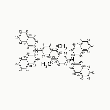 Cc1c2ccc(N(c3ccc4ccccc4c3)c3ccc4ccccc4c3)cc2c(C)c2ccc(N(c3ccc4ccccc4c3)c3ccc4ccccc4c3)cc12